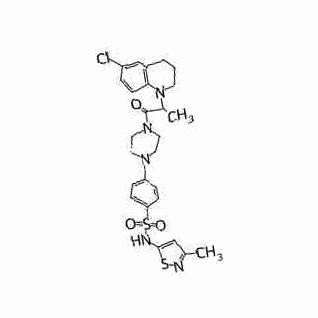 Cc1cc(NS(=O)(=O)c2ccc(N3CCN(C(=O)C(C)N4CCCc5cc(Cl)ccc54)CC3)cc2)sn1